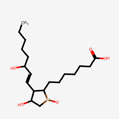 CCCCCC(O)/C=C/C1C(O)C[S+]([O-])C1CCCCCCC(=O)O